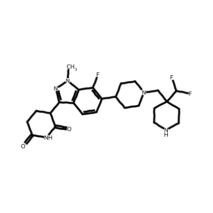 Cn1nc(C2CCC(=O)NC2=O)c2ccc(C3CCN(CC4(C(F)F)CCNCC4)CC3)c(F)c21